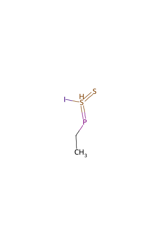 CCP=[SH](=S)I